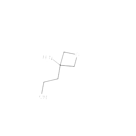 NC1(CCO)COC1